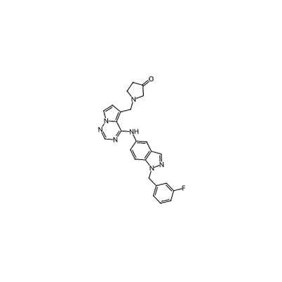 O=C1CCN(Cc2ccn3ncnc(Nc4ccc5c(cnn5Cc5cccc(F)c5)c4)c23)C1